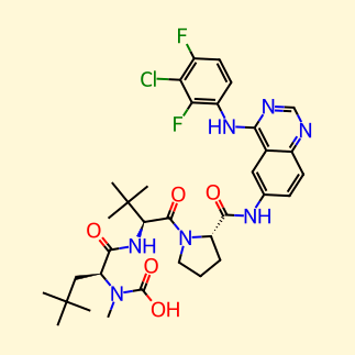 CN(C(=O)O)[C@@H](CC(C)(C)C)C(=O)N[C@H](C(=O)N1CCC[C@H]1C(=O)Nc1ccc2ncnc(Nc3ccc(F)c(Cl)c3F)c2c1)C(C)(C)C